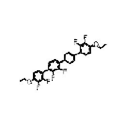 CCOc1ccc(C2=CCC(c3ccc(-c4ccc(OCC)c(F)c4F)c(F)c3F)CC2)c(F)c1F